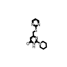 O=c1cc(CSc2ncccn2)nc(N2CCCCC2)[nH]1